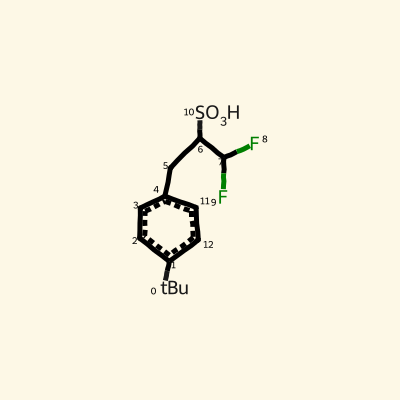 CC(C)(C)c1ccc(CC(C(F)F)S(=O)(=O)O)cc1